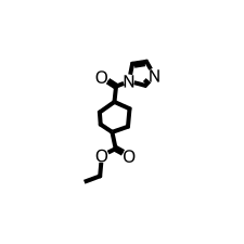 CCOC(=O)C1CCC(C(=O)n2ccnc2)CC1